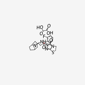 O=C(NC1CC2CCC(C1)N2CCCn1nc2n(c1=O)CCS2)c1ccccc1F.O=C(O)C(=O)O